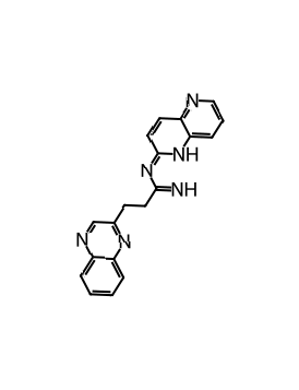 N=C(CCc1cnc2ccccc2n1)/N=c1/ccc2ncccc2[nH]1